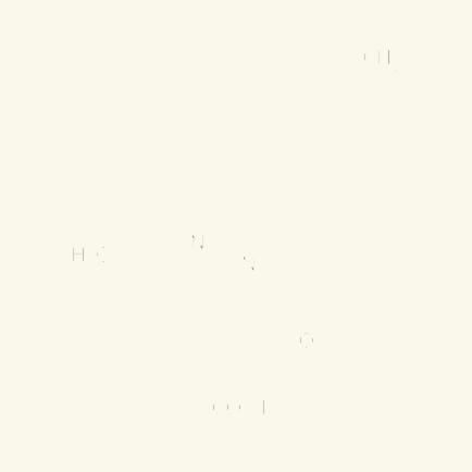 C=Cc1cccc(-n2nc(C)cc(C(=O)O)c2=O)c1